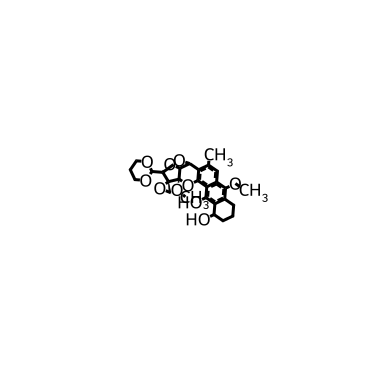 COc1c2c(c(O)c3c4c(c(C)cc13)C1OC3(C5OCCCO5)OC1[C@@](OC)(O4)[C@@]31CO1)C(O)CCC2